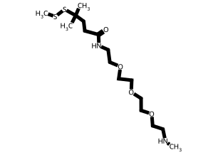 CNCCOCCOCCOCCNC(=O)CCC(C)(C)SSC